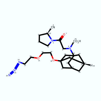 N#C[C@@H]1CCCN1C(=O)CN(C(=O)O)C12CC3C[C@H](CC(OCCOCCN=[N+]=[N-])(C3)C1)C2